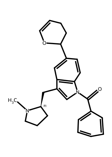 CN1CCC[C@@H]1Cc1cn(C(=O)c2ccccc2)c2ccc(C3CCC=CO3)cc12